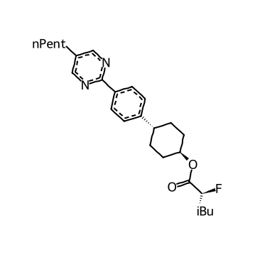 CCCCCc1cnc(-c2ccc([C@H]3CC[C@H](OC(=O)[C@@H](F)[C@@H](C)CC)CC3)cc2)nc1